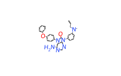 C=CCN(C)c1cccc(-n2c(=O)n(-c3ccc(Oc4ccccc4)cc3)c3c(N)ncnc32)c1